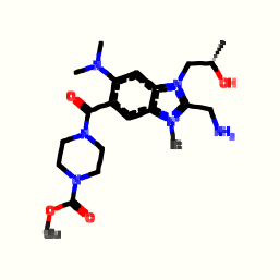 CC[n+]1c(CN)n(C[C@H](C)O)c2cc(N(C)C)c(C(=O)N3CCN(C(=O)OC(C)(C)C)CC3)cc21